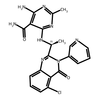 Cc1nc(N)c(C(N)=O)c(N[C@@H](C)c2nc3cccc(Cl)c3c(=O)n2-c2cccnc2)n1